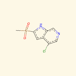 CS(=O)(=O)c1cc2c(Cl)cncc2[nH]1